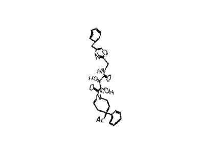 CC(=O)C1(c2ccccc2)CCN(C(=O)[C@H](O)[C@@H](O)C(=O)NCc2nc(Cc3ccccc3)co2)CC1